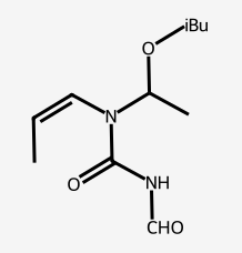 C/C=C\N(C(=O)NC=O)C(C)OC(C)CC